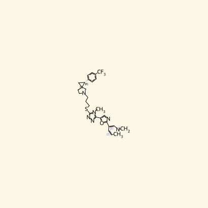 C=N/C=C(\C=C/C)c1ncc(-c2nnc(SCCCN3CC[C@]4(C[C@@H]4c4ccc(C(F)(F)F)cc4)C3)n2C)o1